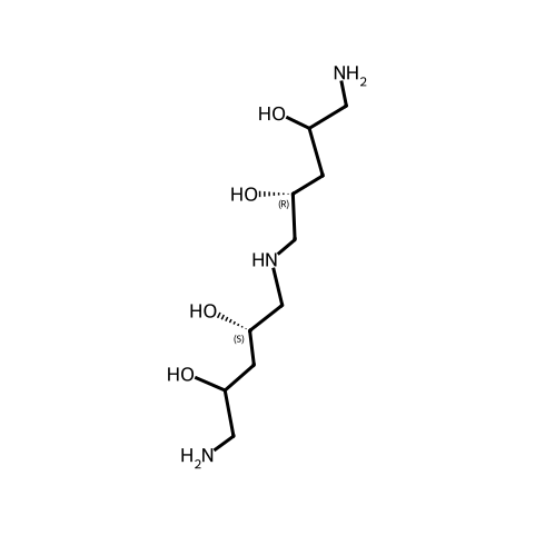 NCC(O)C[C@H](O)CNC[C@H](O)CC(O)CN